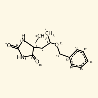 CC(C[C@]1(C)NC(=O)NC1=O)OCc1ccccc1